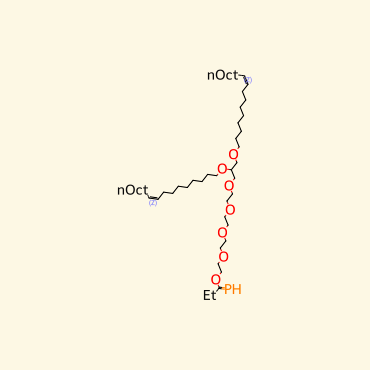 CCCCCCCC/C=C\CCCCCCCCOCC(COCCOCCOCCOCCOC(=P)CC)OCCCCCCCC/C=C\CCCCCCCC